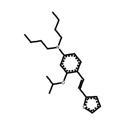 CCCCN(CCCC)c1ccc(C=Cc2cccs2)c(OC(C)C)c1